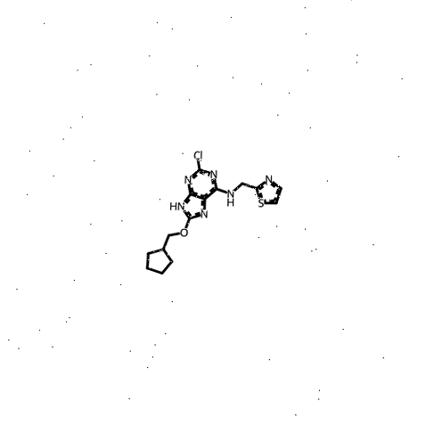 Clc1nc(NCc2nccs2)c2nc(OCC3CCCC3)[nH]c2n1